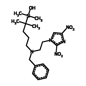 CC(C)(CCCN(CCn1cc([N+](=O)[O-])nc1[N+](=O)[O-])Cc1ccccc1)[Si](C)(C)O